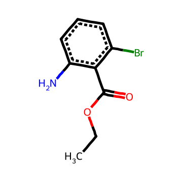 CCOC(=O)c1c(N)cccc1Br